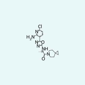 C[C@H](Nc1nnc(-c2ccc(Cl)nc2N)o1)C(=O)N1CCC2(CC1)CC2